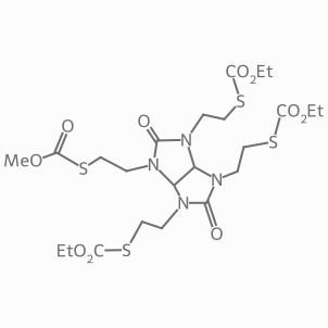 CCOC(=O)SCCN1C(=O)N(CCSC(=O)OCC)C2C1N(CCSC(=O)OC)C(=O)N2CCSC(=O)OCC